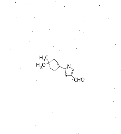 CC1(C)CC=C(c2ncc(C=O)s2)CC1